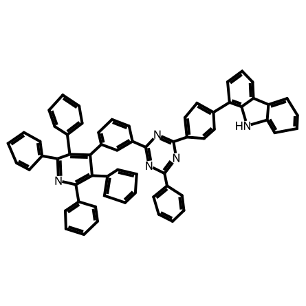 c1ccc(-c2nc(-c3ccc(-c4cccc5c4[nH]c4ccccc45)cc3)nc(-c3cccc(-c4c(-c5ccccc5)c(-c5ccccc5)nc(-c5ccccc5)c4-c4ccccc4)c3)n2)cc1